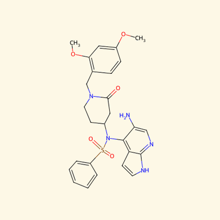 COc1ccc(CN2CCC(N(c3c(N)cnc4[nH]ccc34)S(=O)(=O)c3ccccc3)CC2=O)c(OC)c1